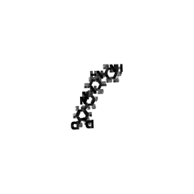 Clc1ccc(-c2ccc(N3CCC(NC4CCCNC4)CC3)nn2)cc1Cl